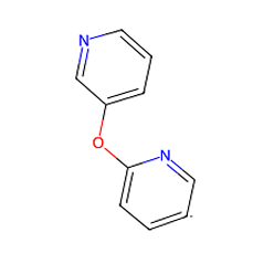 [c]1ccc(Oc2cccnc2)nc1